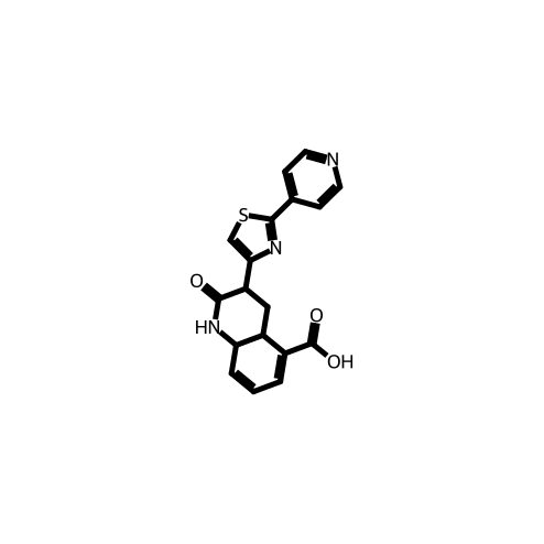 O=C(O)C1=CC=CC2NC(=O)C(c3csc(-c4ccncc4)n3)CC12